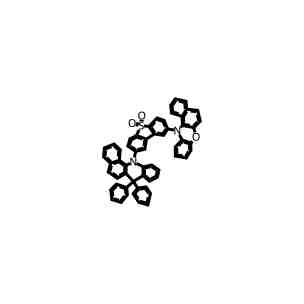 O=S1(=O)c2ccc(N3c4ccccc4Oc4ccc5ccccc5c43)cc2-c2cc(N3c4ccccc4C(c4ccccc4)(c4ccccc4)c4ccc5ccccc5c43)ccc21